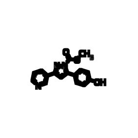 COC(=O)n1nc(-c2cccnc2)cc1-c1ccc(O)cc1